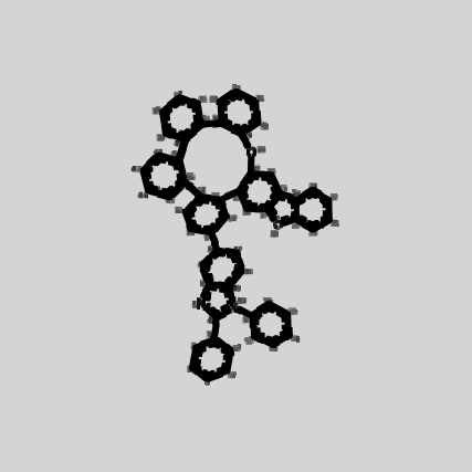 c1ccc(-c2nc3cc(-c4ccc5c(c4)-c4cc6oc7ccccc7c6cc4Oc4ccccc4-c4ccccc4-c4ccccc4-5)ccc3n2-c2ccccc2)cc1